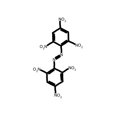 O=[N+]([O-])c1cc([N+](=O)[O-])c(N=Nc2c([N+](=O)[O-])cc([N+](=O)[O-])cc2[N+](=O)[O-])c([N+](=O)[O-])c1